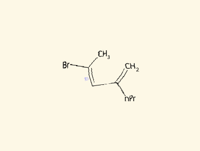 C=C(/C=C(\C)Br)CCC